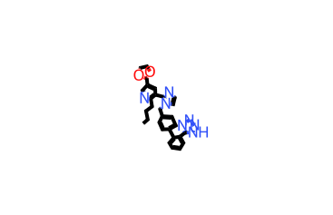 CCCCc1ncc(C2OCCO2)cc1-c1nccn1Cc1ccc(-c2ccccc2-c2nnn[nH]2)cc1